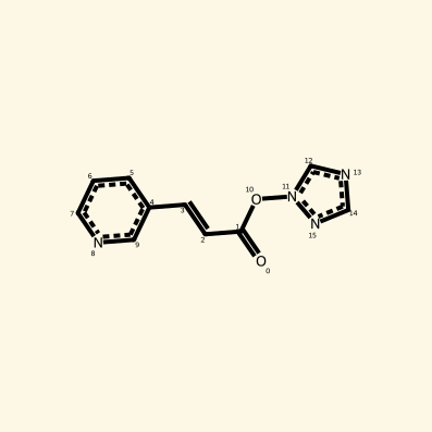 O=C(C=Cc1cccnc1)On1cncn1